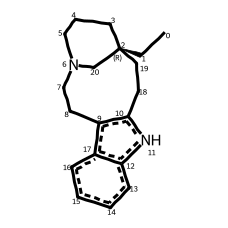 CC[C@@]12CCCN(CCc3c([nH]c4ccccc34)CC1)C2